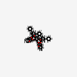 c1ccc(-c2nc(-c3ccccc3)nc(-c3cccc(-c4nc(-c5ccccc5)nc(-c5ccccc5)n4)c3-n3c4ccc(-c5ccncc5)cc4c4cc(-c5ccncc5)ccc43)n2)cc1